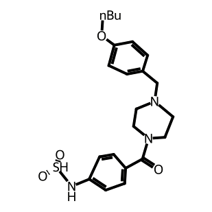 CCCCOc1ccc(CN2CCN(C(=O)c3ccc(N[SH](=O)=O)cc3)CC2)cc1